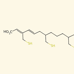 CC(CS)CCCC(CS)CC=CC(=CC(=O)O)CS